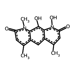 Cc1cc(=O)n(C)c2c(O)c3c(cc12)c(C)cc(=O)n3O